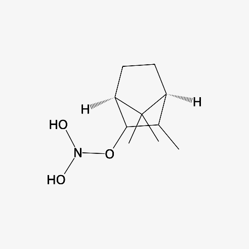 CC1C(ON(O)O)[C@H]2CC[C@@H]1C2(C)C